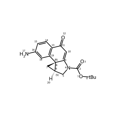 CC(C)(C)OC(=O)N1C[C@H]2C[C@@]23C1=CC(=O)c1ccc(N)cc13